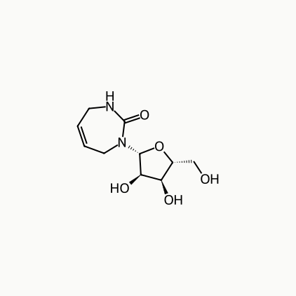 O=C1NCC=CCN1[C@@H]1O[C@H](CO)[C@@H](O)[C@H]1O